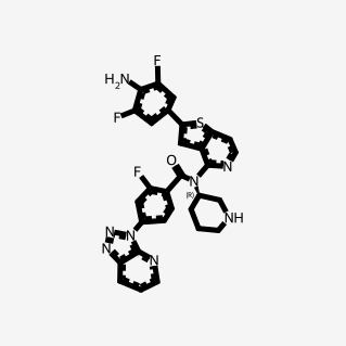 Nc1c(F)cc(-c2cc3c(N(C(=O)c4ccc(-n5nnc6cccnc65)cc4F)[C@@H]4CCCNC4)nccc3s2)cc1F